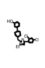 CCn1cc(-c2ccc(Cl)cc2Cl)nc1Cc1ccc(-c2cccc(O)c2)cc1